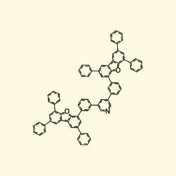 c1ccc(-c2cc(-c3ccccc3)c3oc4c(-c5cccc(-c6cncc(-c7cccc(-c8cc(-c9ccccc9)cc9c8oc8c(-c%10ccccc%10)cc(-c%10ccccc%10)cc89)c7)c6)c5)cc(-c5ccccc5)cc4c3c2)cc1